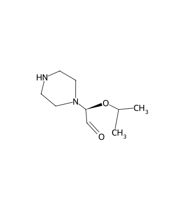 CC(C)O[C@@H](C=O)N1CCNCC1